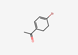 CC(=O)C1=CC=C(Br)CC1